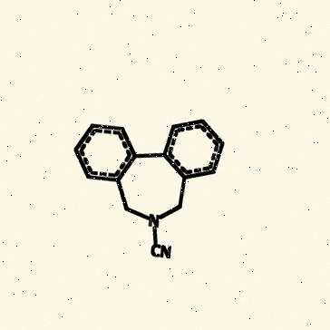 N#CN1Cc2ccccc2-c2ccccc2C1